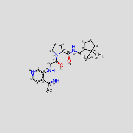 CC(=O)C(=N)c1ccncc1NCC(=O)N1CCC[C@H]1C(=O)NCC1CCCC1(C)C